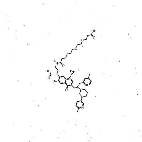 Cc1ccc(N2CCC[C@H](N(Cc3ccnc(C)c3)Cc3cn(C4CC4)c4cc(OCCN(C)C(=O)CCOCCOCCOCCC(=O)O)c(F)cc4c3=O)C2)cn1.O=CO